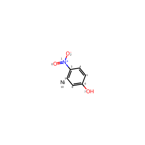 O=[N+]([O-])c1ccc(O)cc1.[Ni]